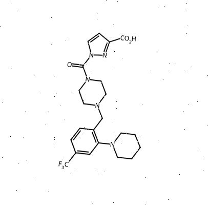 O=C(O)c1ccn(C(=O)N2CCN(Cc3ccc(C(F)(F)F)cc3N3CCCCC3)CC2)n1